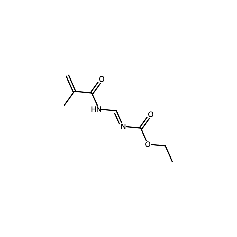 C=C(C)C(=O)NC=NC(=O)OCC